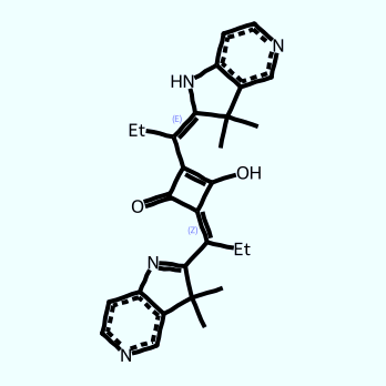 CC/C(C1=Nc2ccncc2C1(C)C)=C1/C(=O)C(C(/CC)=C2/Nc3ccncc3C2(C)C)=C1O